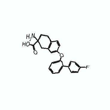 NC1(C(=O)O)CCc2ccc(Oc3ccccc3-c3ccc(F)cc3)cc2C1